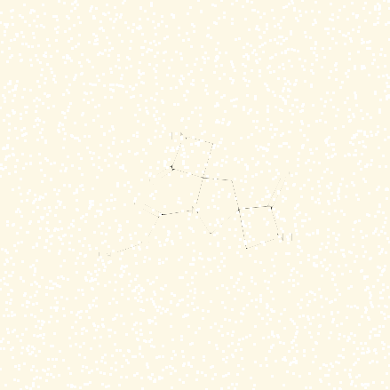 CC(C)(C)OC(=O)N1CC2(CNC2=O)CC12CNC2=O